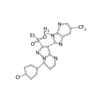 CCS(=O)(=O)c1nn2c(-c3ccc(Cl)cc3)ccnc2c1-c1nc2cc(C(F)(F)F)cnc2n1C